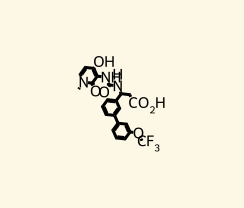 Cn1ccc(O)c(NC(=O)NC(CC(=O)O)c2cccc(-c3cccc(OC(F)(F)F)c3)c2)c1=O